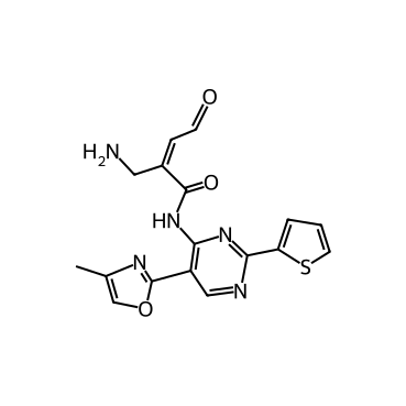 Cc1coc(-c2cnc(-c3cccs3)nc2NC(=O)/C(=C\C=O)CN)n1